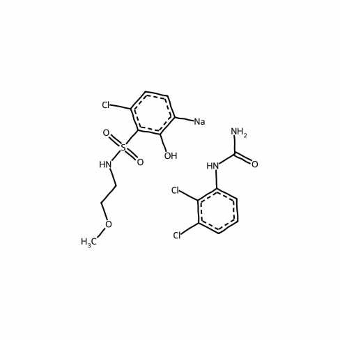 COCCNS(=O)(=O)c1c(Cl)cc[c]([Na])c1O.NC(=O)Nc1cccc(Cl)c1Cl